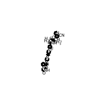 CC1(C)C(NC(=O)c2ccc(N3CCC4(CC3)CC(N3CCC(n5ncc6c(N7CCC(=O)NC7=O)cccc65)CC3)C4)c(F)c2)C(C)(C)C1Oc1ccc(C#N)c2ncccc12